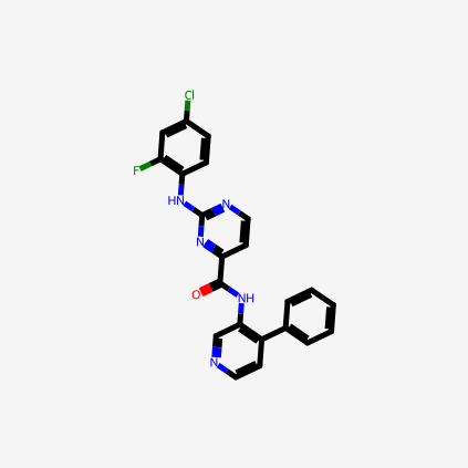 O=C(Nc1cnccc1-c1ccccc1)c1ccnc(Nc2ccc(Cl)cc2F)n1